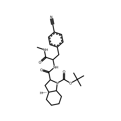 CNC(=O)C(Cc1ccc(C#N)cc1)NC(=O)C1C[C@@H]2CCCCC2N1C(=O)OC(C)(C)C